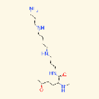 CNC(CCC(C)=O)C(=O)NCCCNCCCCNCCCN